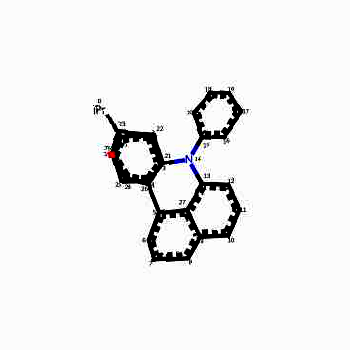 CC(C)c1ccc(-c2cccc3cccc(N(c4ccccc4)c4ccccc4)c23)cc1